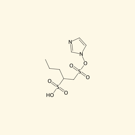 CCCC(CS(=O)(=O)On1ccnc1)S(=O)(=O)O